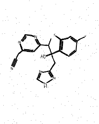 CC(c1cc(C#N)ncn1)C(O)(Cc1nc[nH]n1)c1ccc(F)cc1F